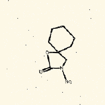 O=NN1CC2(CCCCC2)OC1=O